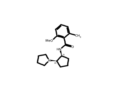 COc1cccc(C)c1C(=O)N[C@H]1CCC[C@H]1N1CCCC1